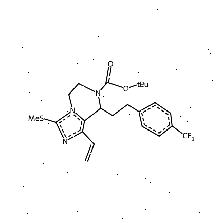 C=Cc1nc(SC)n2c1C(CCc1ccc(C(F)(F)F)cc1)N(C(=O)OC(C)(C)C)CC2